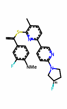 C=C(Sc1nc(-c2ccc(N3CC[C@@H](F)C3)nc2)ccc1C)c1ccc(NC)c(F)c1